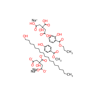 CCCCCCCCCCCCCCCCCCO.CCCOC(=O)c1ccccc1O.COC(=O)c1ccc(O)cc1.O=C(O)CC(O)(CC(=O)O)C(=O)O.O=C([O-])CC(O)(CC(=O)[O-])C(=O)[O-].[Na+].[Na+].[Na+]